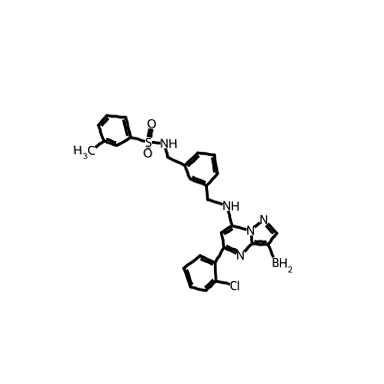 Bc1cnn2c(NCc3cccc(CNS(=O)(=O)c4cccc(C)c4)c3)cc(-c3ccccc3Cl)nc12